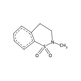 CN1CCc2ccccc2S1(=O)=O